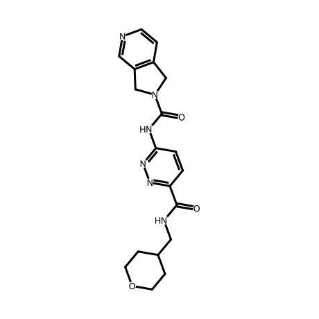 O=C(NCC1CCOCC1)c1ccc(NC(=O)N2Cc3ccncc3C2)nn1